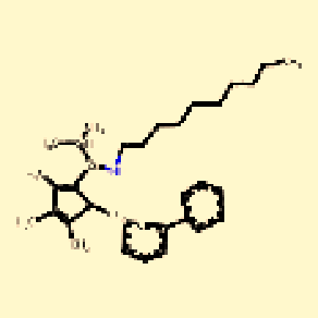 CCCCCCCCCC[NH][Zr]([C]1=C(C)C(C)=C(C)C1C)[SiH](C)C.c1ccc(-c2ccccc2)cc1